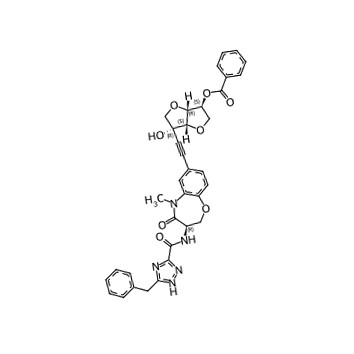 CN1C(=O)[C@H](NC(=O)c2n[nH]c(Cc3ccccc3)n2)COc2ccc(C#C[C@@]3(O)CO[C@@H]4[C@@H](OC(=O)c5ccccc5)CO[C@@H]43)cc21